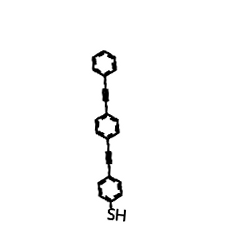 Sc1ccc(C#Cc2ccc(C#Cc3ccccc3)cc2)cc1